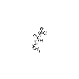 CC=CCNC(=O)COC(=O)Cl